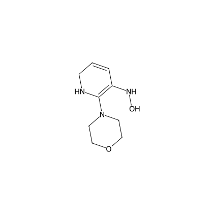 ONC1=C(N2CCOCC2)NCC=C1